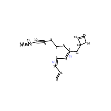 C=C/C=C\C=C(/CCCC#CNC)CC1C=CC1